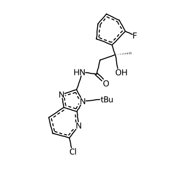 CC(C)(C)n1c(NC(=O)C[C@](C)(O)c2ccccc2F)nc2ccc(Cl)nc21